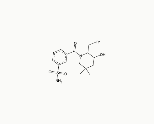 CC(C)CC1C(O)CC(C)(C)CN1C(=O)c1cccc(S(N)(=O)=O)c1